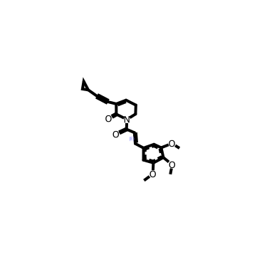 COc1cc(/C=C/C(=O)N2CCC=C(C#CC3CC3)C2=O)cc(OC)c1OC